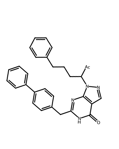 CC(=O)C(CCCc1ccccc1)n1ncc2c(=O)[nH]c(Cc3ccc(-c4ccccc4)cc3)nc21